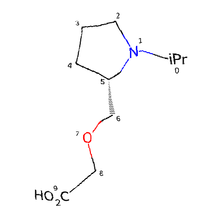 CC(C)N1CCC[C@H]1COCC(=O)O